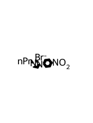 CCCn1cc[n+](-c2ccc([N+](=O)[O-])cc2)c1.[Br-]